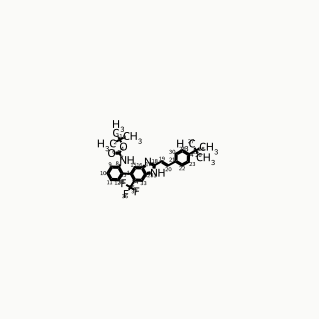 CC(C)(C)OC(=O)Nc1ccccc1-c1cc2nc(/C=C/c3ccc(C(C)(C)C)cc3)[nH]c2cc1C(F)(F)F